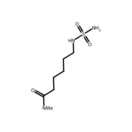 CNC(=O)CCCCCNS(N)(=O)=O